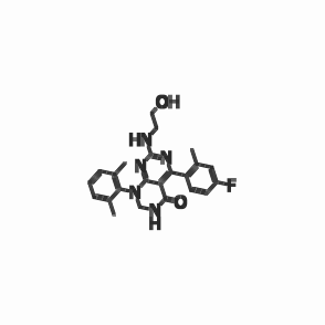 Cc1cc(F)ccc1-c1nc(NCCO)nc2c1C(=O)NCN2c1c(C)cccc1C